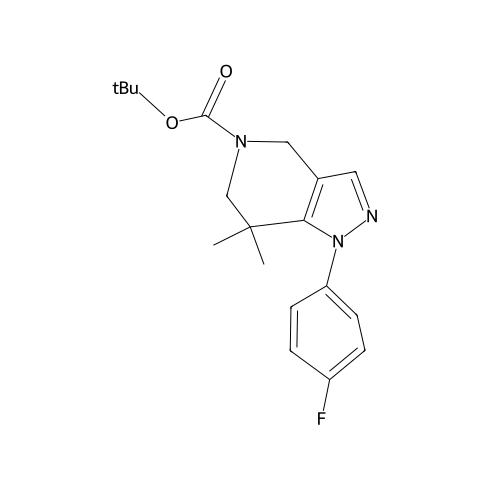 CC(C)(C)OC(=O)N1Cc2cnn(-c3ccc(F)cc3)c2C(C)(C)C1